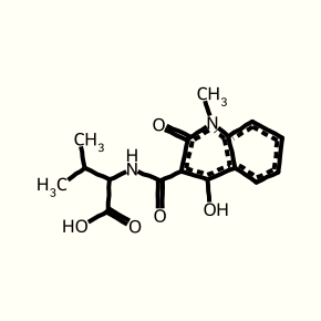 CC(C)C(NC(=O)c1c(O)c2ccccc2n(C)c1=O)C(=O)O